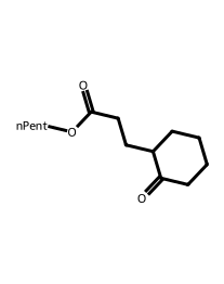 CCCCCOC(=O)CCC1CCCCC1=O